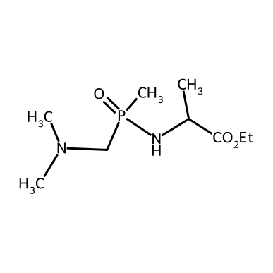 CCOC(=O)C(C)NP(C)(=O)CN(C)C